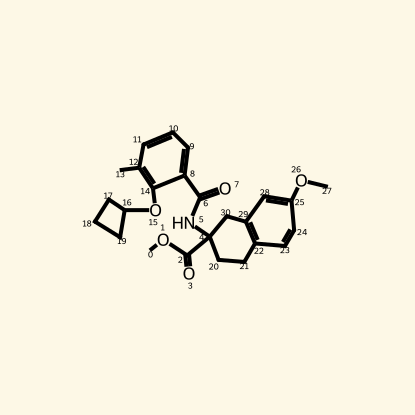 COC(=O)C1(NC(=O)c2cccc(C)c2OC2CCC2)CCc2ccc(OC)cc2C1